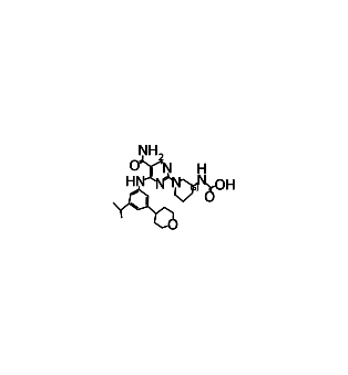 CC(C)c1cc(Nc2nc(N3CCC[C@H](NC(=O)O)C3)ncc2C(N)=O)cc(C2CCOCC2)c1